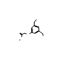 CC(C)(C)OC(=O)COc1cc(CBr)cc(CBr)c1